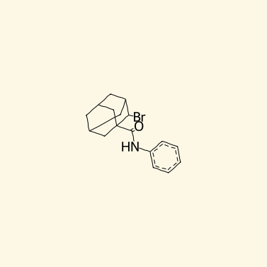 O=C(Nc1ccccc1)C12CC3CC(CC(C3)C1Br)C2